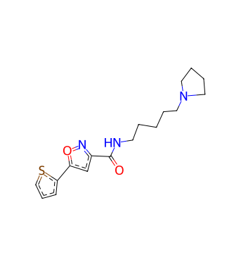 O=C(NCCCCCN1CCCC1)c1cc(-c2cccs2)on1